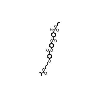 C=CCOC(=O)Nc1ccc(C(=O)Oc2ccc(OC(=O)c3ccc(OCCCCOC(=O)C(=C)C)cc3)cc2)cc1